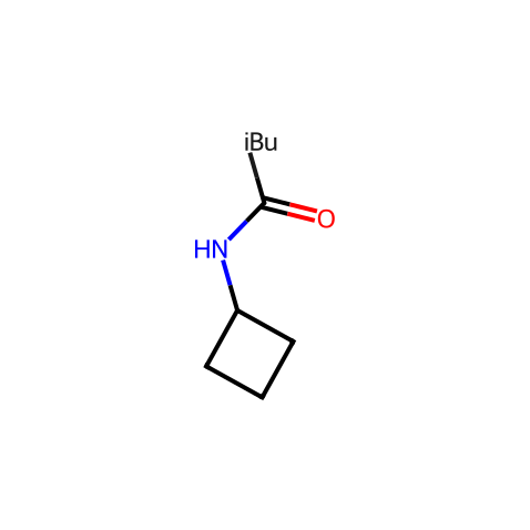 CCC(C)C(=O)NC1CCC1